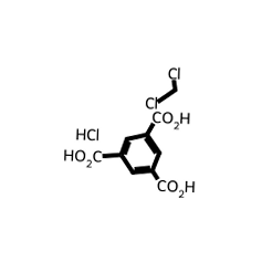 Cl.ClCCl.O=C(O)c1cc(C(=O)O)cc(C(=O)O)c1